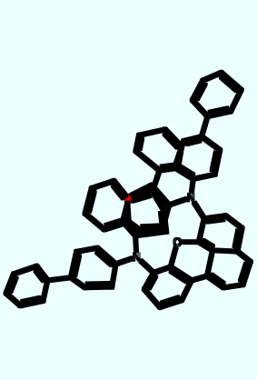 c1ccc(-c2ccc(N(c3ccc(-c4ccccc4)cc3)c3cccc4c3Oc3c(N(c5ccc(-c6ccccc6)cc5)c5ccc6ccccc6c5)ccc5cccc-4c35)cc2)cc1